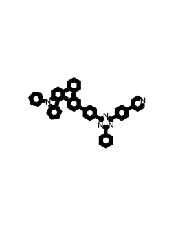 c1ccc(-c2nc(-c3ccc(-c4ccncc4)cc3)nc(-c3ccc(-c4ccc5c(c4)c4ccccc4c4ccc6c(c7ccccc7n6-c6ccccc6)c45)cc3)n2)cc1